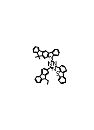 CCC1c2ccccc2-c2ccc(-c3nc(-c4cccc5c4sc4ccccc45)nc(-n4c5ccccc5c5cc6c(cc54)C(C)(C)c4ccccc4-6)n3)cc21